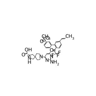 CC=Cc1ccc([C@@H](Oc2cc(N3CCC4(CC3)CN[C@H](C(=O)O)C4)nc(N)n2)C(F)(F)F)c(-c2cccc(S(C)(=O)=O)c2)c1